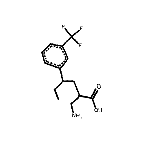 CCC(CC(CN)C(=O)O)c1cccc(C(F)(F)F)c1